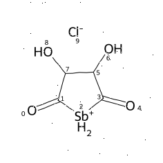 O=[C]1[SbH2+][C](=O)C(O)C1O.[Cl-]